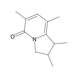 Cc1cc(C)c(=O)n2c1C(C)C(C)C2